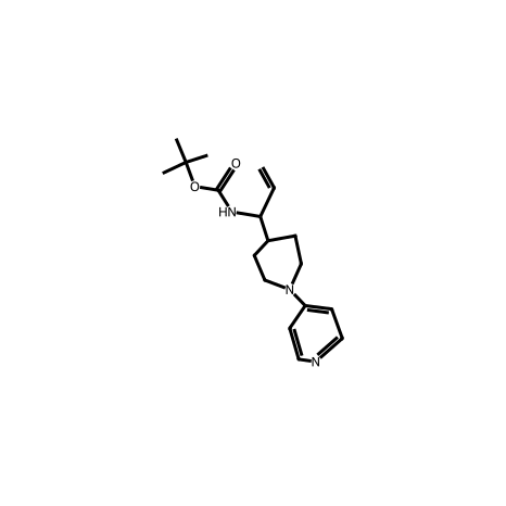 C=CC(NC(=O)OC(C)(C)C)C1CCN(c2ccncc2)CC1